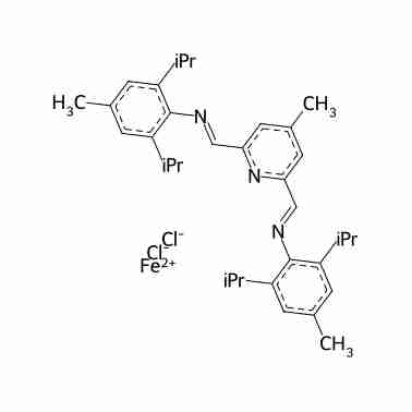 Cc1cc(C=Nc2c(C(C)C)cc(C)cc2C(C)C)nc(C=Nc2c(C(C)C)cc(C)cc2C(C)C)c1.[Cl-].[Cl-].[Fe+2]